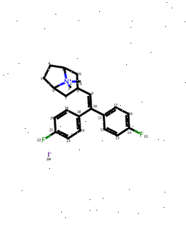 C[N+]1(C)C2CCC1CC(C=C(c1ccc(F)cc1)c1ccc(F)cc1)C2.[I-]